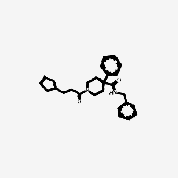 O=C(CCC1CCCC1)N1CCC(C(=O)NCc2ccccc2)(c2ccccc2)CC1